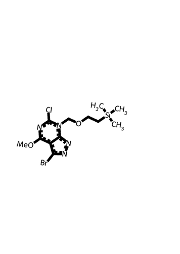 COc1nc(Cl)n(COCC[Si](C)(C)C)c2nnc(Br)c1-2